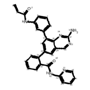 C=CC(=O)Nc1cccc(-c2cc(-c3ccccc3C(=O)Nc3ccccn3)cc3cnc(N)nc23)c1